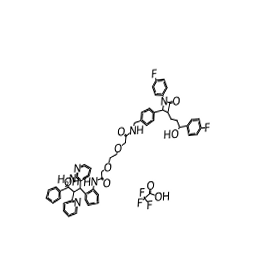 Nc1ncccc1C(c1ccccc1NC(=O)COCCOCC(=O)NCc1ccc(C2C(CCC(O)c3ccc(F)cc3)C(=O)N2c2ccc(F)cc2)cc1)C(c1ccccn1)C(O)c1ccccc1.O=C(O)C(F)(F)F